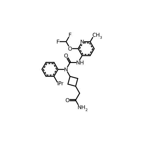 Cc1ccc(NC(=O)N(c2ccccc2C(C)C)C2CC(CC(N)=O)C2)c(OC(F)F)n1